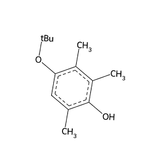 Cc1cc(OC(C)(C)C)c(C)c(C)c1O